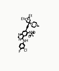 CCOCC(C#Cc1cc2ncnc(Nc3ccc(F)c(Cl)c3)c2cc1NS(C)(=O)=O)(COCC)N1CCN(C)CC1